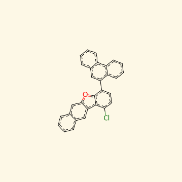 Clc1ccc(-c2cc3ccccc3c3ccccc23)c2oc3cc4ccccc4cc3c12